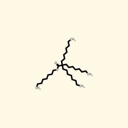 CCCCCCCCOC(=O)C(CCCCCCCC)(CCCCCCCC)CCCCCCCC